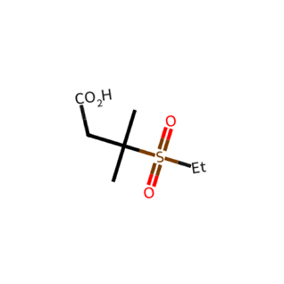 CCS(=O)(=O)C(C)(C)CC(=O)O